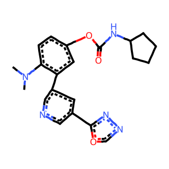 CN(C)c1ccc(OC(=O)NC2CCCC2)cc1-c1cncc(-c2nnco2)c1